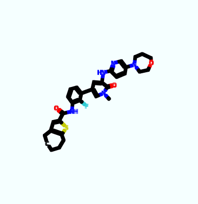 Cn1cc(-c2cccc(NC(=O)c3cc4c(s3)CCCCC4)c2F)cc(Nc2ccc(N3CCCOCC3)cn2)c1=O